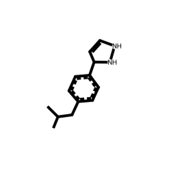 CC(C)Cc1ccc(C2C=CNN2)cc1